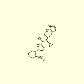 O=C(C1=CCC(C2CCCCC2[N+](=O)[O-])O1)N(C1CC1)C1CCc2[nH]ncc2C1